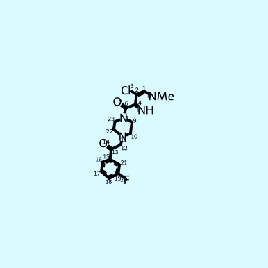 CN/C=C(/Cl)C(=N)C(=O)N1CCN(CC(=O)c2cccc(F)c2)CC1